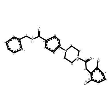 O=C(NCc1ccccn1)c1ccc(N2CCN(C(=O)Cc3c(Cl)cccc3Cl)CC2)cc1